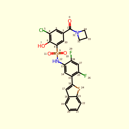 O=C(c1cc(Cl)c(O)c(S(=O)(=O)Nc2cc(-c3cc4ccccc4s3)c(F)cc2F)c1)N1CCC1